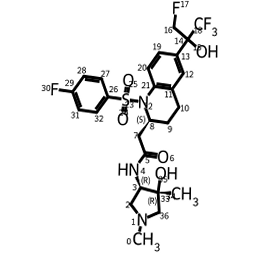 CN1C[C@@H](NC(=O)C[C@@H]2CCc3cc(C(O)(CF)C(F)(F)F)ccc3N2S(=O)(=O)c2ccc(F)cc2)[C@](C)(O)C1